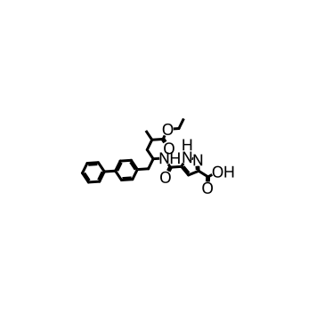 CCOC(=O)C(C)CC(Cc1ccc(-c2ccccc2)cc1)NC(=O)c1cc(C(=O)O)n[nH]1